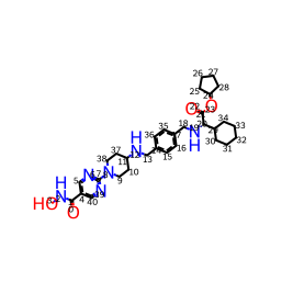 O=C(NO)c1cnc(N2CCC(NCc3ccc(CN[C@H](C(=O)OC4CCCC4)C4CCCCC4)cc3)CC2)nc1